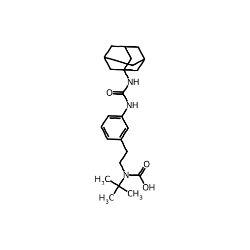 CC(C)(C)N(CCc1cccc(NC(=O)NC23CC4CC(CC(C4)C2)C3)c1)C(=O)O